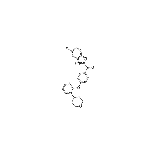 O=C(c1ccc(Oc2ncccc2C2CCOCC2)cc1)c1nc2ccc(F)cc2[nH]1